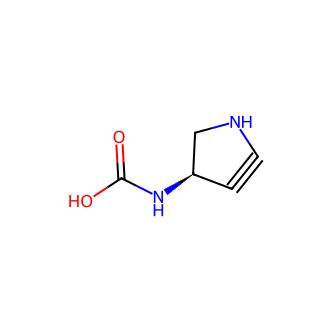 O=C(O)N[C@@H]1C#CNC1